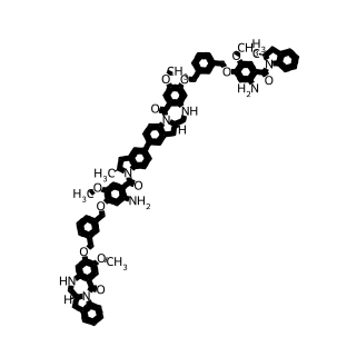 COc1cc(C(=O)N2c3ccccc3C[C@H]2C)c(N)cc1OCc1cccc(COc2cc3c(cc2OC)C(=O)N2c4ccc(-c5ccc6c(c5)C[C@@H](C)N6C(=O)c5cc(OC)c(OCc6cccc(COc7cc8c(cc7OC)C(=O)N7c9ccccc9C[C@H]7CN8)c6)cc5N)cc4C[C@H]2CN3)c1